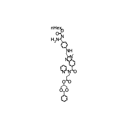 CCCCCCOC(=O)/N=C(\N)c1ccc(NCc2nc3cc(C(=O)N(CCC(=O)OC4COC(c5ccccc5)OC4)c4ccccn4)ccc3n2C)cc1